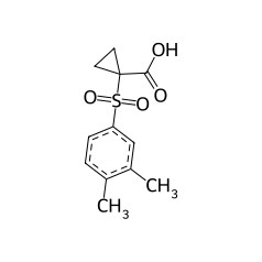 Cc1ccc(S(=O)(=O)C2(C(=O)O)CC2)cc1C